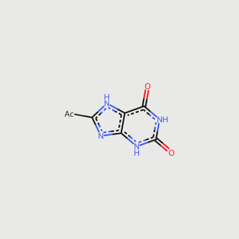 CC(=O)c1nc2[nH]c(=O)[nH]c(=O)c2[nH]1